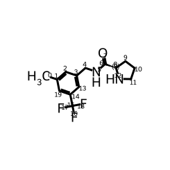 Cc1cc(CNC(=O)[C@H]2CCCN2)cc(C(F)(F)F)c1